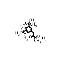 CON(C)C(=O)Cc1cc(C(C)(C)C)c(O)c(C(C)(C)C)c1